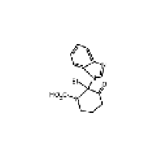 CCC1(n2cnc3ccccc32)C(=O)CCCN1C(=O)O